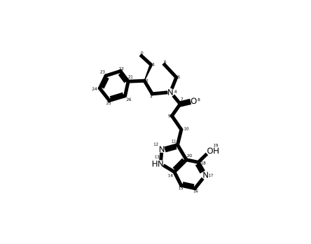 CC[C@@H](CN(CC)C(=O)CCc1n[nH]c2ccnc(O)c12)c1ccccc1